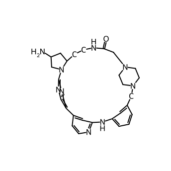 NC1CC2CCNC(=O)CN3CCN(CC3)Cc3cccc(c3)Nc3cc(ccn3)-c3cnc(nc3)N2C1